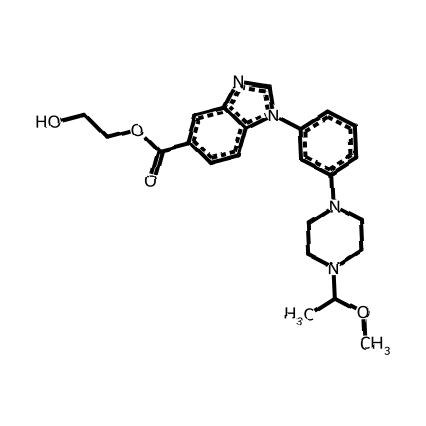 COC(C)N1CCN(c2cccc(-n3cnc4cc(C(=O)OCCO)ccc43)c2)CC1